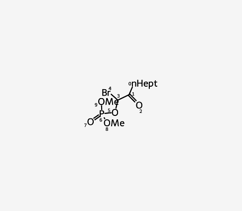 CCCCCCCC(=O)C(Br)OP(=O)(OC)OC